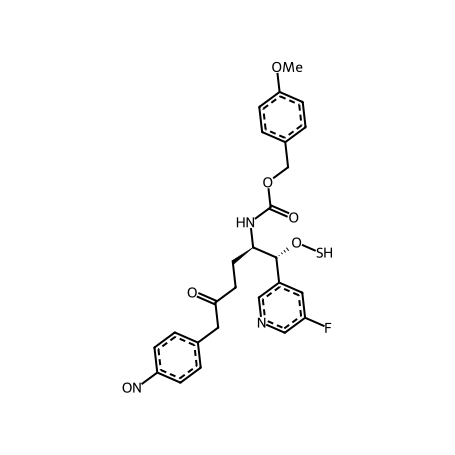 COc1ccc(COC(=O)N[C@H](CCC(=O)Cc2ccc(N=O)cc2)[C@H](OS)c2cncc(F)c2)cc1